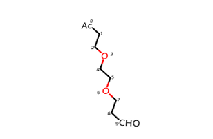 CC(=O)CCOCCOCCC=O